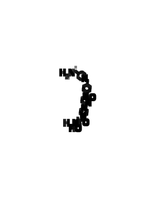 C[C@@H](N)C1CCN(Cc2ccc(-n3ccc(N4CCN(C(=O)C(C)(N)CO)CC4)nc3=O)cc2)CC1